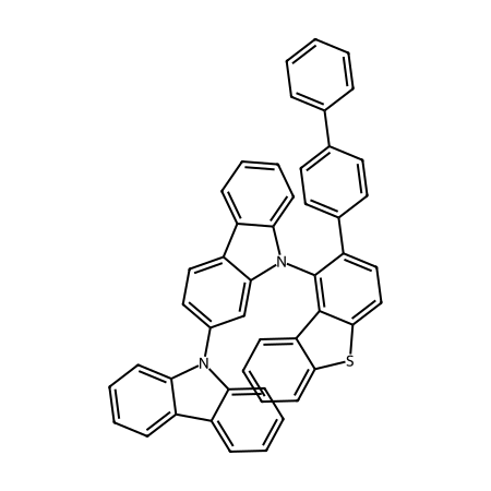 c1ccc(-c2ccc(-c3ccc4sc5ccccc5c4c3-n3c4ccccc4c4ccc(-n5c6ccccc6c6ccccc65)cc43)cc2)cc1